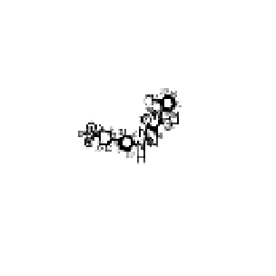 CS(=O)(=O)N1CCC(c2ccc(Nc3ncc4c(n3)OCN(c3c(Cl)cccc3Cl)C4=O)cc2)CC1